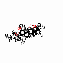 COc1cc2c(cc1O[Si](C(C)C)(C(C)C)C(C)C)CC[C@@H]1[C@@H]2CC[C@]2(C)[C@@H]([C@H](C)C(C)O)CC[C@@H]12